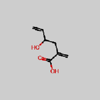 C=CC(O)CC(=C)C(=O)O